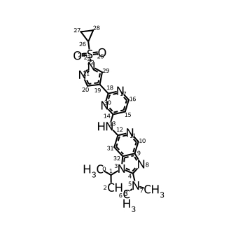 CC(C)n1c(N(C)C)nc2cnc(Nc3ccnc(-c4cnn(S(=O)(=O)C5CC5)c4)n3)cc21